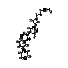 Cc1nn([C@H]2C[C@H](CCCN)C2)cc1-c1cnc2ccc(N3CCOCC3)cc2n1